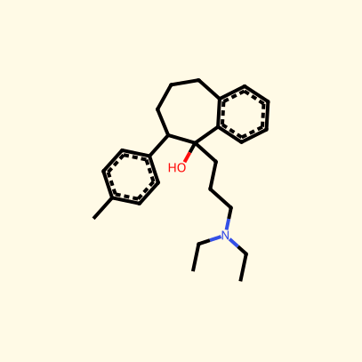 CCN(CC)CCCC1(O)c2ccccc2CCCC1c1ccc(C)cc1